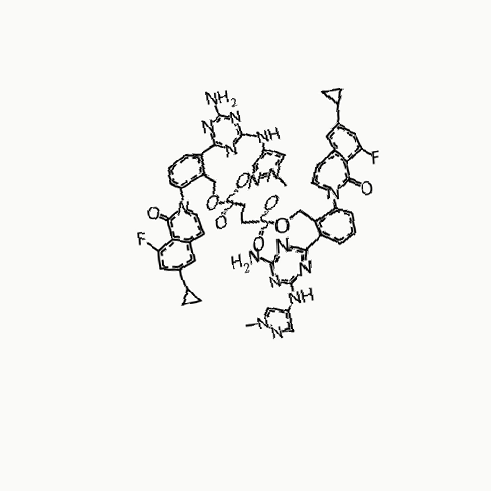 Cn1cc(Nc2nc(N)nc(-c3cccc(-n4ccc5cc(C6CC6)cc(F)c5c4=O)c3COS(=O)(=O)CCS(=O)(=O)OCc3c(-c4nc(N)nc(Nc5cnn(C)c5)n4)cccc3-n3ccc4cc(C5CC5)cc(F)c4c3=O)n2)cn1